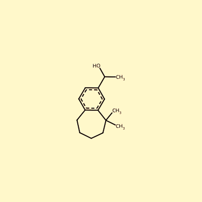 CC(O)c1ccc2c(c1)C(C)(C)CCCC2